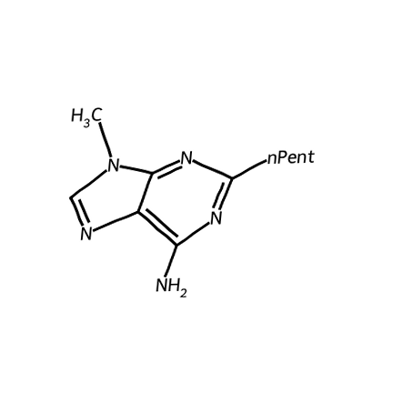 CCCCCc1nc(N)c2ncn(C)c2n1